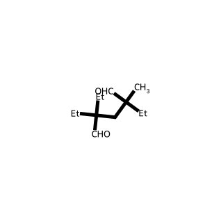 CCC(C)(C=O)CC(C=O)(CC)CC